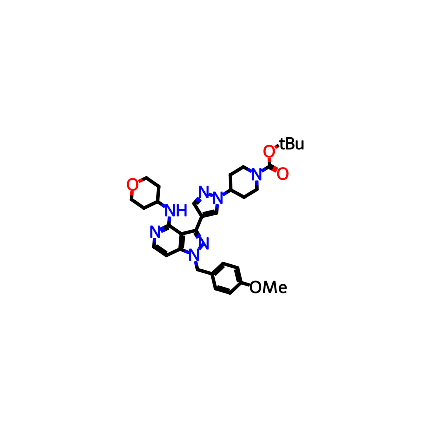 COc1ccc(Cn2nc(-c3cnn(C4CCN(C(=O)OC(C)(C)C)CC4)c3)c3c(NC4CCOCC4)nccc32)cc1